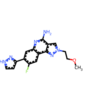 COCCn1cc2c(N)nc3cc(-c4cc[nH]n4)c(F)cc3c2n1